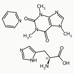 Cn1c(=O)c2c(ncn2C)n(C)c1=O.N[C@@H](Cc1cnc[nH]1)C(=O)O.c1ccncc1